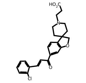 O=C(O)CCN1CCC2(CC1)COc1cc(C(=O)C=Cc3ccccc3Cl)ccc12